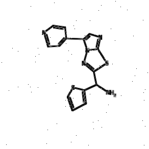 NC(c1cccs1)c1nn2c(-c3ccncc3)cnc2s1